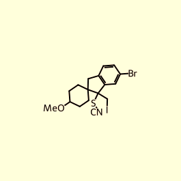 COC1CCC2(CC1)Cc1ccc(Br)cc1C2(CI)SC#N